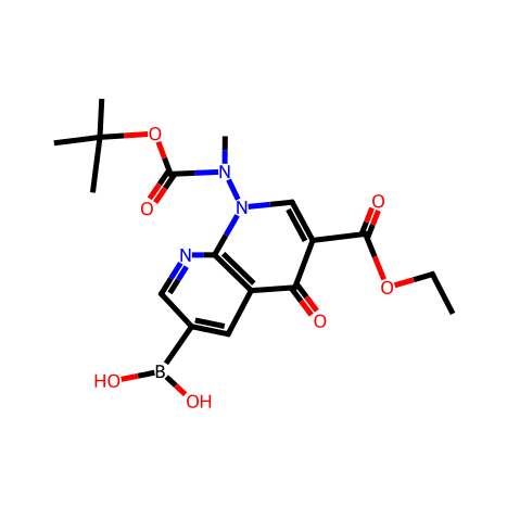 CCOC(=O)c1cn(N(C)C(=O)OC(C)(C)C)c2ncc(B(O)O)cc2c1=O